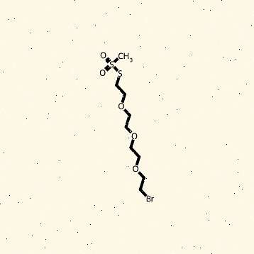 CS(=O)(=O)SCCOCCOCCOCCBr